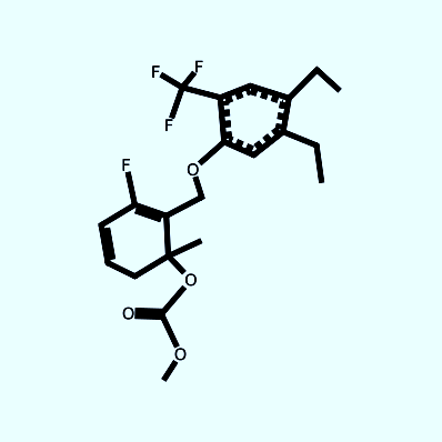 CCc1cc(OCC2=C(F)C=CCC2(C)OC(=O)OC)c(C(F)(F)F)cc1CC